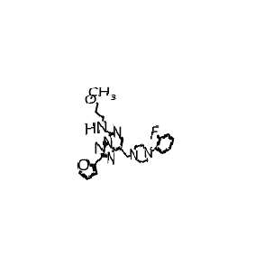 COCCCNc1ncc(CN2CCN(c3ccccc3F)CC2)c2nc(-c3ccco3)nn12